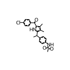 Cc1c(C(=O)c2ccc(Cl)cc2)[nH]c(C(C)c2ccc(NS(C)(=O)=O)cc2)c1C